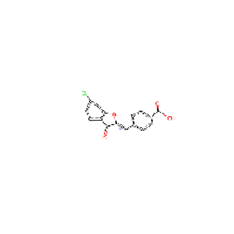 O=C(O)c1ccc(/C=C2\Oc3cc(Cl)ccc3C2=O)cc1